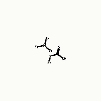 CCN(CC)CC.CCSC(=S)S